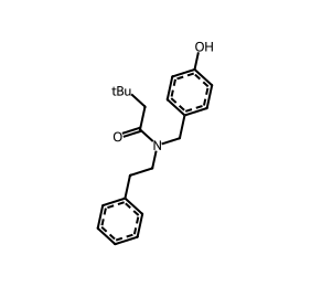 CC(C)(C)CC(=O)N(CCc1ccccc1)Cc1ccc(O)cc1